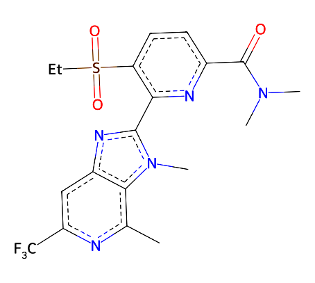 CCS(=O)(=O)c1ccc(C(=O)N(C)C)nc1-c1nc2cc(C(F)(F)F)nc(C)c2n1C